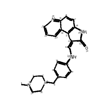 CN1CCN(Cc2ccc(N/C=C3\C(=O)Nc4ccc5ncccc5c43)cc2)CC1